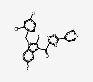 O=C(c1nnc(-c2ccncc2)o1)c1c(Cl)n(Cc2ccc(Cl)cc2Cl)c2ccc(Cl)cc12